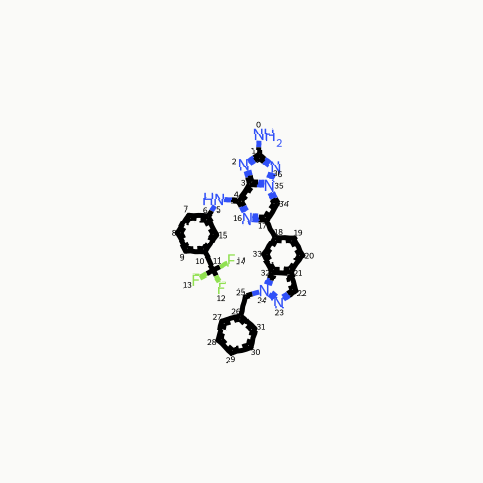 Nc1nc2c(Nc3cccc(C(F)(F)F)c3)nc(-c3ccc4cnn(Cc5ccccc5)c4c3)cn2n1